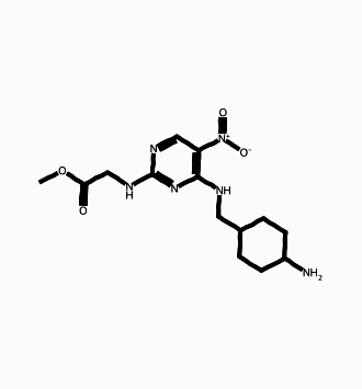 COC(=O)CNc1ncc([N+](=O)[O-])c(NCC2CCC(N)CC2)n1